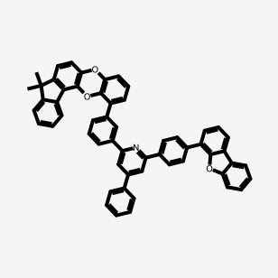 CC1(C)c2ccccc2-c2c1ccc1c2Oc2c(cccc2-c2cccc(-c3cc(-c4ccccc4)cc(-c4ccc(-c5cccc6c5oc5ccccc56)cc4)n3)c2)O1